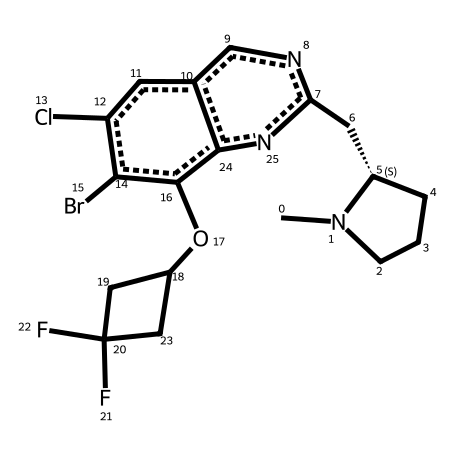 CN1CCC[C@H]1Cc1ncc2cc(Cl)c(Br)c(OC3CC(F)(F)C3)c2n1